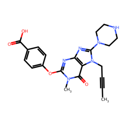 CC#CCn1c(N2CCNCC2)nc2nc(Oc3ccc(C(=O)O)cc3)n(C)c(=O)c21